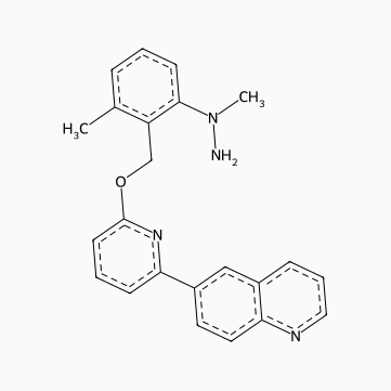 Cc1cccc(N(C)N)c1COc1cccc(-c2ccc3ncccc3c2)n1